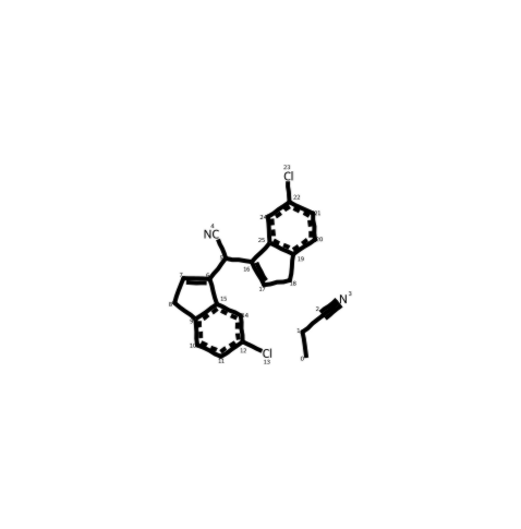 CCC#N.N#CC(C1=CCc2ccc(Cl)cc21)C1=CCc2ccc(Cl)cc21